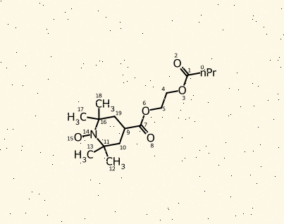 CCCC(=O)OCCOC(=O)C1CC(C)(C)N([O])C(C)(C)C1